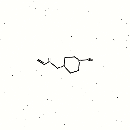 C=CNCN1CCN(C(C)(C)C)CC1